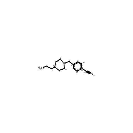 CCCC1CCN(Cc2ccc(C#N)cc2)CC1